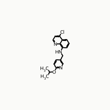 CC(C)Oc1ccc(CNc2cccc3c(Cl)ccnc23)cn1